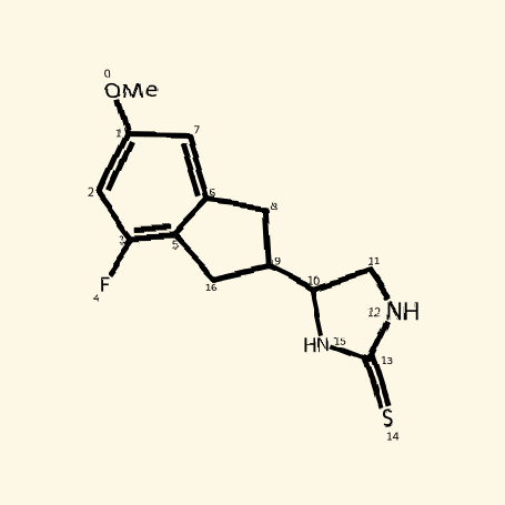 COc1cc(F)c2c(c1)CC(C1CNC(=S)N1)C2